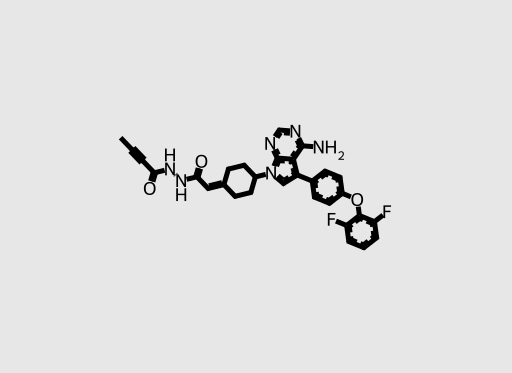 CC#CC(=O)NNC(=O)C=C1CCC(n2cc(-c3ccc(Oc4c(F)cccc4F)cc3)c3c(N)ncnc32)CC1